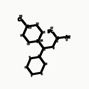 CC(=O)N(CC(C1CCCCC1)N1CCN(Cl)CC1)C(C)C